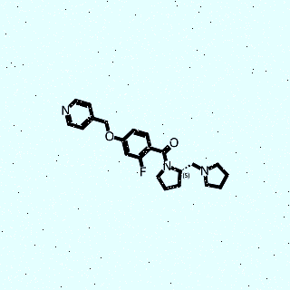 O=C(c1ccc(OCc2ccncc2)cc1F)N1CCC[C@H]1CN1CCCC1